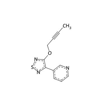 CC#CCOc1nsnc1-c1cccnc1